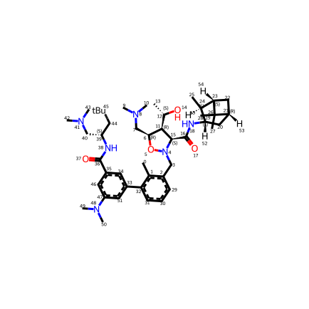 Cc1c(CN2O[C@@H](CN(C)C)[C@@H]([C@H](C)O)[C@H]2C(=O)N[C@H]2C[C@H]3C[C@@H]([C@@H]2C)C3(C)C)cccc1-c1cc(C(=O)N[C@H](CN(C)C)CC(C)(C)C)cc(N(C)C)c1